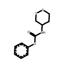 O=C(NC1CCSSC1)Oc1ccccc1